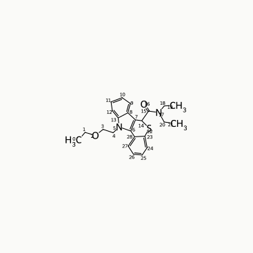 CCOCCn1c2c(c3ccccc31)C(C(=O)N(CC)CC)Sc1ccccc1-2